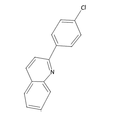 Clc1ccc(-c2ccc3cc[c]cc3n2)cc1